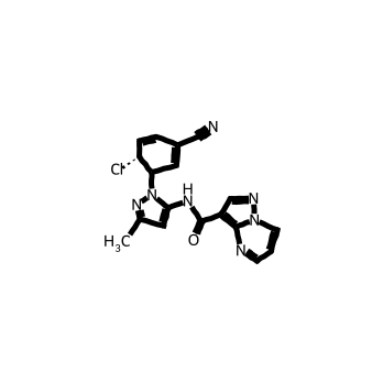 Cc1cc(NC(=O)c2cnn3cccnc23)n(C2C=C(C#N)C=C[C@H]2Cl)n1